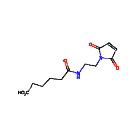 O=C(O)CCCCC(=O)NCCN1C(=O)C=CC1=O